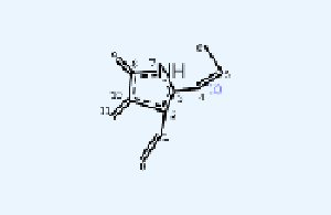 C=Cc1c(/C=C\C)[nH]c(=C)c1=C